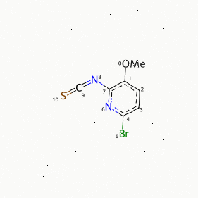 COc1ccc(Br)nc1N=C=S